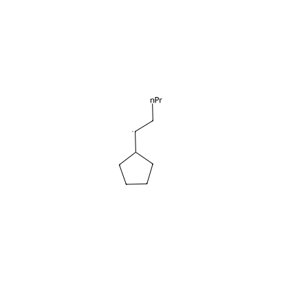 [CH2]CCC[CH]C1CCCC1